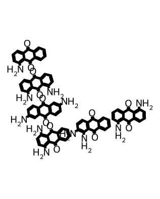 Nc1ccc(N)c2c1C(=O)c1ccccc1C2=O.Nc1ccc2c(c1)C(=O)c1ccc(N)cc1C2=O.Nc1ccc2c(c1N)C(=O)c1ccccc1C2=O.Nc1cccc2c1C(=O)c1c(N)cccc1C2=O.Nc1cccc2c1C(=O)c1cccc(N)c1C2=O.Nc1cccc2c1C(=O)c1ccccc1C2=O